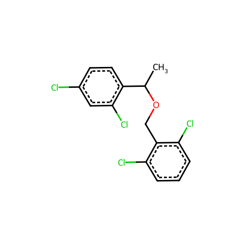 CC(OCc1c(Cl)cccc1Cl)c1ccc(Cl)cc1Cl